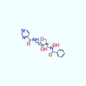 C[C@@]1(CN(O)C(=O)c2ccccc2)CO[C@H](CNC(=O)c2ccncn2)[C@H]1O